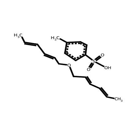 CC=CC=CCOCC=CC=CC.Cc1ccc(S(=O)(=O)O)cc1